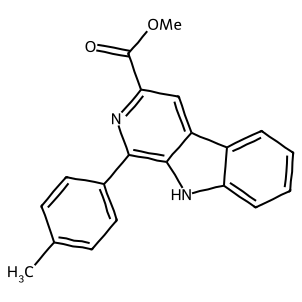 COC(=O)c1cc2c([nH]c3ccccc32)c(-c2ccc(C)cc2)n1